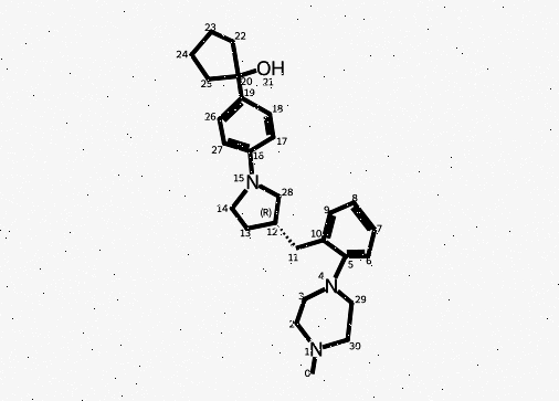 CN1CCN(c2ccccc2C[C@@H]2CCN(c3ccc(C4(O)CCCC4)cc3)C2)CC1